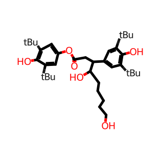 CC(C)(C)c1cc(OC(=O)CC(c2cc(C(C)(C)C)c(O)c(C(C)(C)C)c2)C(O)CCCCCO)cc(C(C)(C)C)c1O